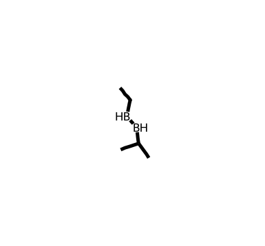 CCBBC(C)C